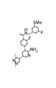 C=C(NCc1cc(F)cc(SC)c1)c1ccc(-c2cc(-c3cn(C)nc3C)cnc2N)cc1F